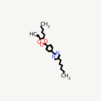 C#CC(=O)C(CCCCC)OC(=O)c1ccc(-c2ncc(CCCCCC)cn2)cc1